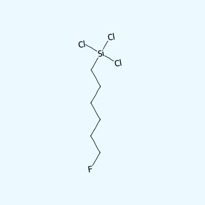 FCCCCCC[Si](Cl)(Cl)Cl